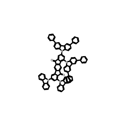 O=c1c2cc3c(cc2c2c(-n4c5ccc(-c6ccccc6)cc5c5cc(-c6ccccc6)ccc54)cc(-n4c5ccc(-c6ccccc6)cc5c5cc(-c6ccccc6)ccc54)cc12)c(=O)c1c(-n2c4ccccc4c4ccccc42)cc(-n2c4ccccc4c4ccccc42)cc13